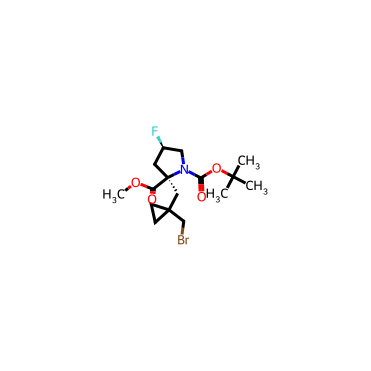 COC(=O)[C@@]1(CC2(CBr)CC2)C[C@@H](F)CN1C(=O)OC(C)(C)C